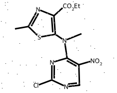 CCOC(=O)c1nc(C)sc1N(C)c1nc(Cl)ncc1[N+](=O)[O-]